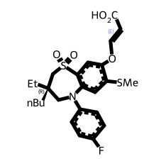 CCCC[C@]1(CC)CN(c2ccc(F)cc2)c2cc(SC)c(O/C=C/C(=O)O)cc2S(=O)(=O)C1